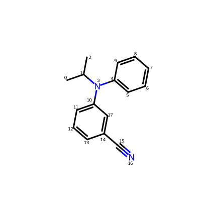 CC(C)N(c1ccccc1)c1cccc(C#N)c1